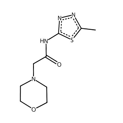 Cc1nnc(NC(=O)CN2CCOCC2)s1